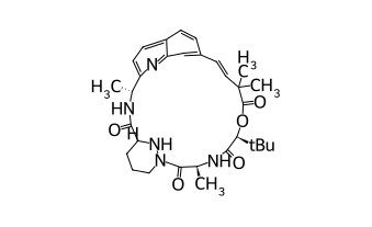 C[C@@H]1NC(=O)[C@H](C(C)(C)C)OC(=O)C(C)(C)/C=C/c2ccc3ccc(nc3c2)[C@@H](C)NC(=O)[C@@H]2CCCN(N2)C1=O